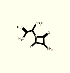 C=C(C)C(C(=O)O)N1C(=O)C(N)C1F